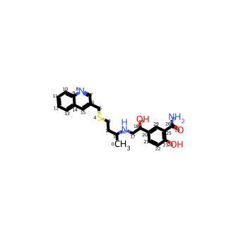 CC(CCSCc1cnc2ccccc2c1)NCC(O)c1ccc(O)c(C(N)=O)c1